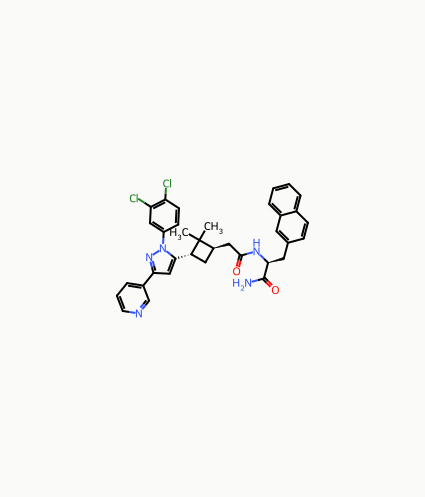 CC1(C)[C@@H](CC(=O)N[C@@H](Cc2ccc3ccccc3c2)C(N)=O)C[C@@H]1c1cc(-c2cccnc2)nn1-c1ccc(Cl)c(Cl)c1